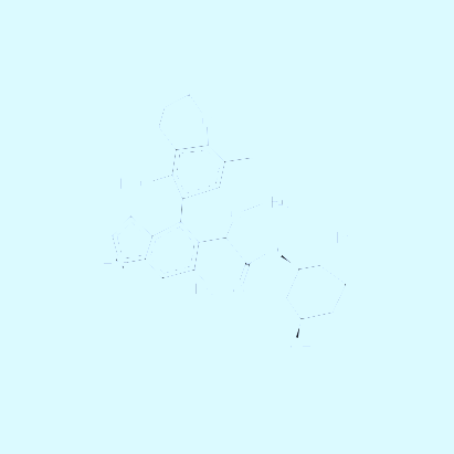 Cc1cc2[nH]ccc2c(-c2cc(F)c3c(c2C)CCCO3)c1C(OC(C)(C)C)C(=O)O[C@@H]1C[C@H](C)CC[C@H]1C(C)C